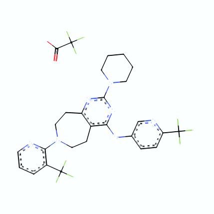 FC(F)(F)c1ccc(Nc2nc(N3CCCCC3)nc3c2CCN(c2ncccc2C(F)(F)F)CC3)cn1.O=C(O)C(F)(F)F